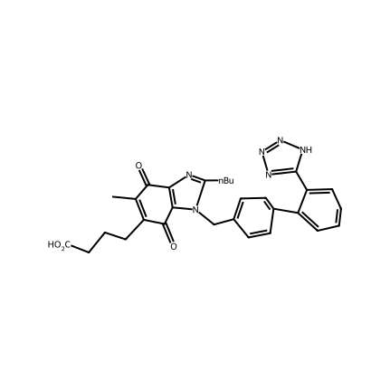 CCCCc1nc2c(n1Cc1ccc(-c3ccccc3-c3nnn[nH]3)cc1)C(=O)C(CCCC(=O)O)=C(C)C2=O